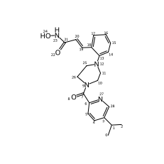 CC(C)c1ccc(C(=O)N2CCN(c3ccccc3/C=C/C(=O)NO)CC2)nc1